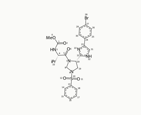 COC(=O)N[C@H](C(=O)N1CN(S(=O)(=O)c2ccccc2)C[C@H]1c1nc(-c2ccc(Br)cc2)c[nH]1)C(C)C